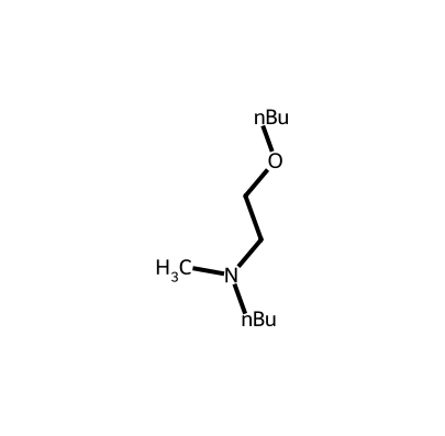 CCCCOCCN(C)CCCC